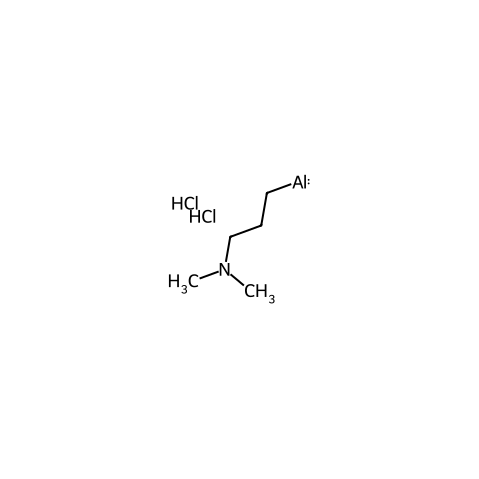 CN(C)CC[CH2][Al].Cl.Cl